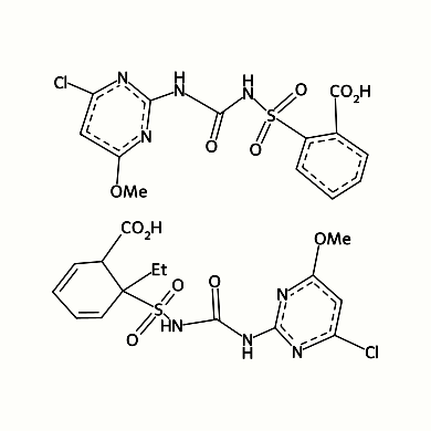 CCC1(S(=O)(=O)NC(=O)Nc2nc(Cl)cc(OC)n2)C=CC=CC1C(=O)O.COc1cc(Cl)nc(NC(=O)NS(=O)(=O)c2ccccc2C(=O)O)n1